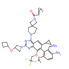 C=CC(=O)N1CC2(CCN(c3nc(N4CC(OC5CCC5)C4)nc4c(OCC(F)(F)F)c(-c5c(C)ccc(N)c5C=N)c(C5CC5)cc34)CC2)C1